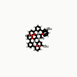 CC(C)(C)c1ccc2c(c1)B1c3sc4ccc(C(C)(C)C)cc4c3N(c3c(-c4ccccc4)cccc3-c3ccccc3)c3cc(C(C)(C)C)cc(c31)N2c1c(-c2ccccc2)cccc1-c1ccccc1